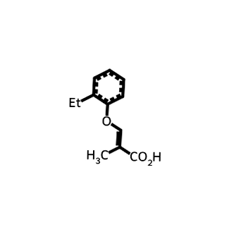 CCc1ccccc1OC=C(C)C(=O)O